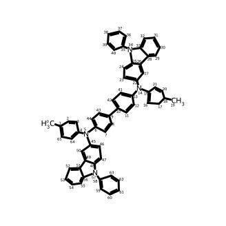 Cc1ccc(N(c2ccc(-c3ccc(N(C4=CCC(C)C=C4)c4ccc5c(c4)c4ccccc4n5-c4ccccc4)cc3)cc2)c2ccc3c(c2)c2ccccc2n3-c2ccccc2)cc1